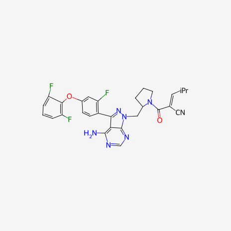 CC(C)C=C(C#N)C(=O)N1CCCC1Cn1nc(-c2ccc(Oc3c(F)cccc3F)cc2F)c2c(N)ncnc21